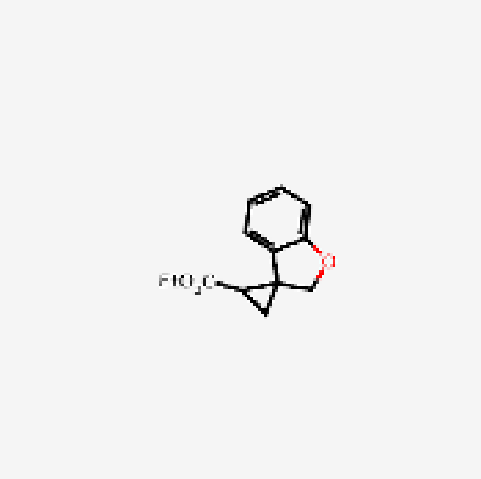 CCOC(=O)C1CC12COc1ccccc12